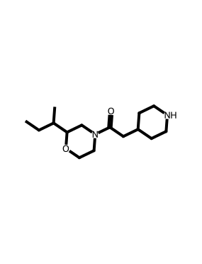 CCC(C)C1CN(C(=O)CC2CCNCC2)CCO1